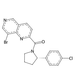 O=C(c1ccc2cncc(Br)c2n1)N1CCC[C@H]1c1ccc(Cl)cc1